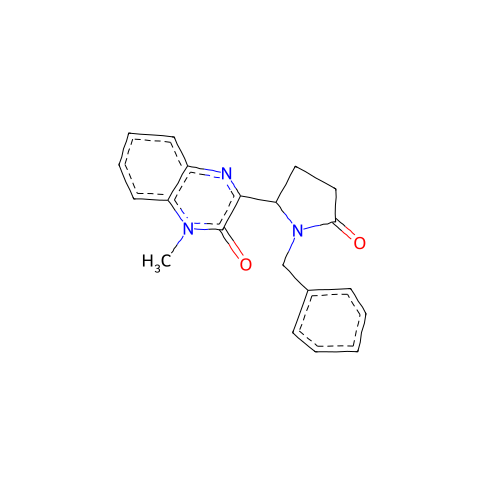 Cn1c(=O)c(C2CCC(=O)N2Cc2ccccc2)nc2ccccc21